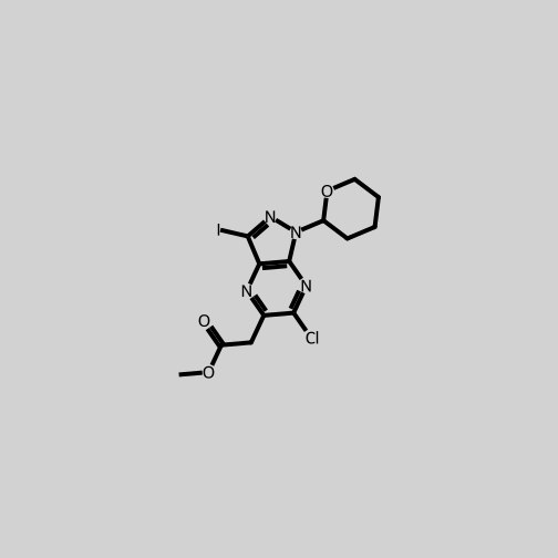 COC(=O)Cc1nc2c(I)nn(C3CCCCO3)c2nc1Cl